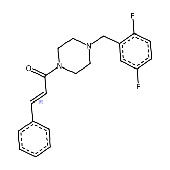 O=C(/C=C/c1ccccc1)N1CCN(Cc2cc(F)ccc2F)CC1